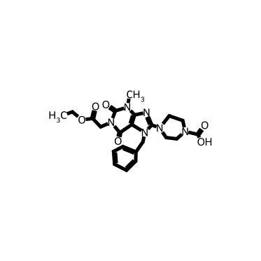 CCOC(=O)Cn1c(=O)c2c(nc(N3CCN(C(=O)O)CC3)n2Cc2ccccc2)n(C)c1=O